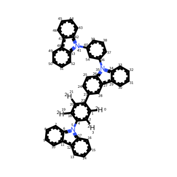 [2H]c1c([2H])c(-n2c3ccccc3c3ccccc32)c([2H])c([2H])c1-c1ccc2c(c1)c1ccccc1n2-c1cccc(-n2c3ccccc3c3ccccc32)c1